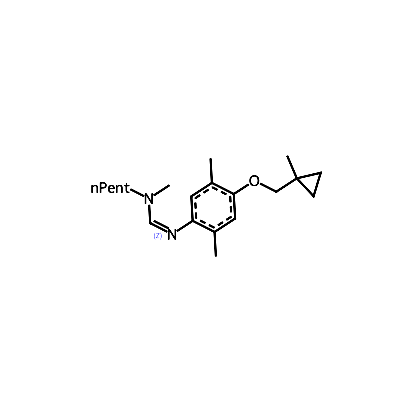 CCCCCN(C)/C=N\c1cc(C)c(OCC2(C)CC2)cc1C